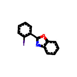 Ic1ccccc1-c1nc2ccccc2o1